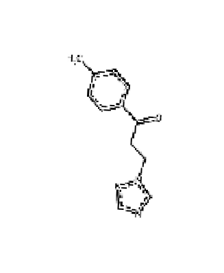 Cc1ccc(C(=O)CCn2cncn2)cc1